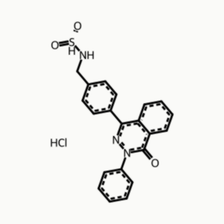 Cl.O=c1c2ccccc2c(-c2ccc(CN[SH](=O)=O)cc2)nn1-c1ccccc1